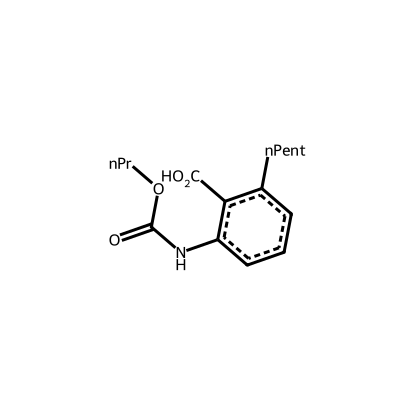 CCCCCc1cccc(NC(=O)OCCC)c1C(=O)O